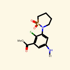 CCNc1cc(C(=O)OC)c(F)c(N2CCCCS2(=O)=O)c1